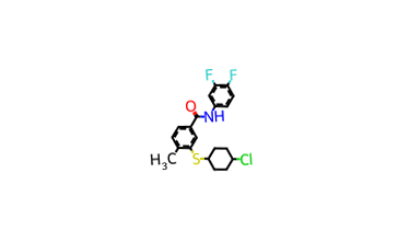 Cc1ccc(C(=O)Nc2ccc(F)c(F)c2)cc1SC1CCC(Cl)CC1